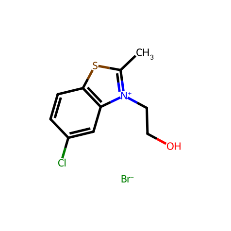 Cc1sc2ccc(Cl)cc2[n+]1CCO.[Br-]